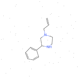 C=CCN1CCNC(c2ccccc2)C1